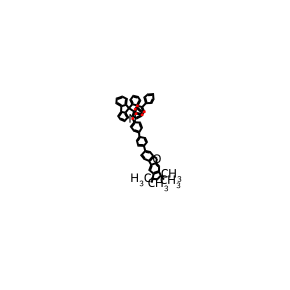 CC1(C)CC(C)(C)c2cc3c(cc21)oc1cc(-c2ccc(-c4ccc(N(c5ccc(-c6ccccc6)cc5)c5cccc6c5C(c5ccccc5)(c5ccccc5)c5ccccc5-6)cc4)cc2)ccc13